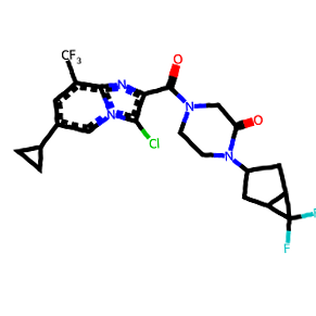 O=C(c1nc2c(C(F)(F)F)cc(C3CC3)cn2c1Cl)N1CCN(C2CC3C(C2)C3(F)F)C(=O)C1